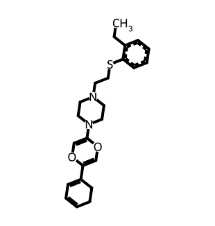 CCc1ccccc1SCCN1CCN(C2=COC(C3=CC=CCC3)=CO2)CC1